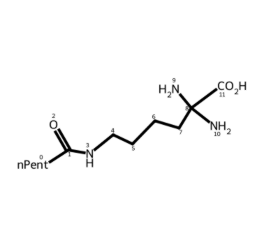 CCCCCC(=O)NCCCCC(N)(N)C(=O)O